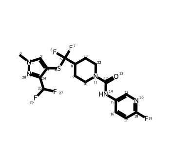 Cn1cc(SC(F)(F)C2CCN(C(=O)Nc3ccc(F)nc3)CC2)c(C(F)F)n1